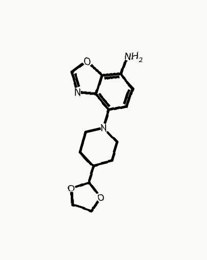 Nc1ccc(N2CCC(C3OCCO3)CC2)c2ncoc12